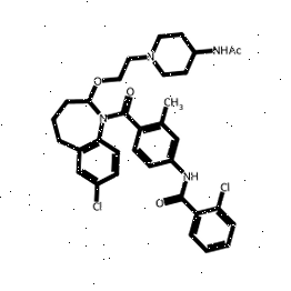 CC(=O)NC1CCN(CCOC2CCCc3cc(Cl)ccc3N2C(=O)c2ccc(NC(=O)c3ccccc3Cl)cc2C)CC1